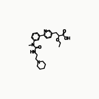 CCOC(Cc1ccc(-c2cccc(N(C)C(=O)NCCN3CCCCC3)c2)nc1)C(=O)O